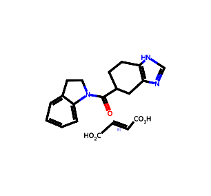 O=C(C1CCc2[nH]cnc2C1)N1CCc2ccccc21.O=C(O)/C=C/C(=O)O